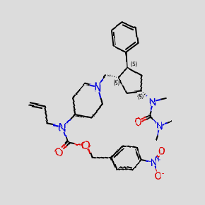 C=CCN(C(=O)OCc1ccc([N+](=O)[O-])cc1)C1CCN(C[C@H]2C[C@@H](N(C)C(=O)N(C)C)C[C@@H]2c2ccccc2)CC1